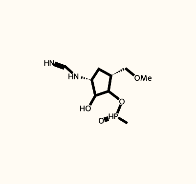 COC[C@H]1C[C@@H](NC=N)C(O)C1O[PH](C)=O